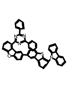 c1ccc(-c2nc(-c3ccccc3)nc(-c3cccc4oc5ccc(-c6ccc7sc8c(-n9c%10ccccc%10c%10ccccc%109)cccc8c7c6)cc5c34)n2)cc1